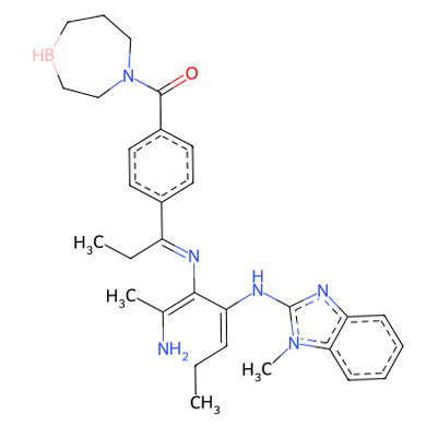 CC/C=C(/Nc1nc2ccccc2n1C)C(/N=C(\CC)c1ccc(C(=O)N2CCBCCC2)cc1)=C(C)N